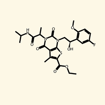 CCOC(=O)c1sc2c(c1C)c(=O)n(C(C)C(=O)NC(C)C)c(=O)n2C[C@H](O)c1cc(F)ccc1OC